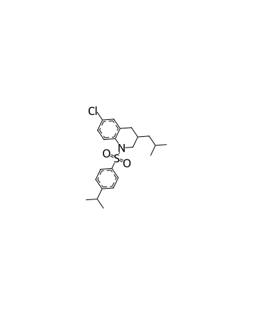 CC(C)CC1Cc2cc(Cl)ccc2N(S(=O)(=O)c2ccc(C(C)C)cc2)C1